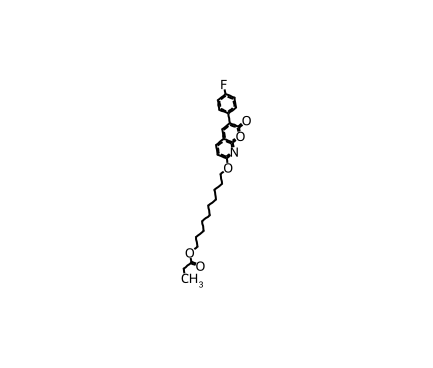 CCC(=O)OCCCCCCCCCCOc1ccc2cc(-c3ccc(F)cc3)c(=O)oc2n1